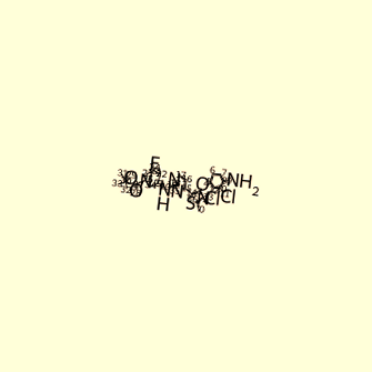 Cc1nc(Oc2ccc(N)c(Cl)c2Cl)c(-c2ccnc(N[C@H]3C[C@H](F)CN(C(=O)OC(C)(C)C)C3)n2)s1